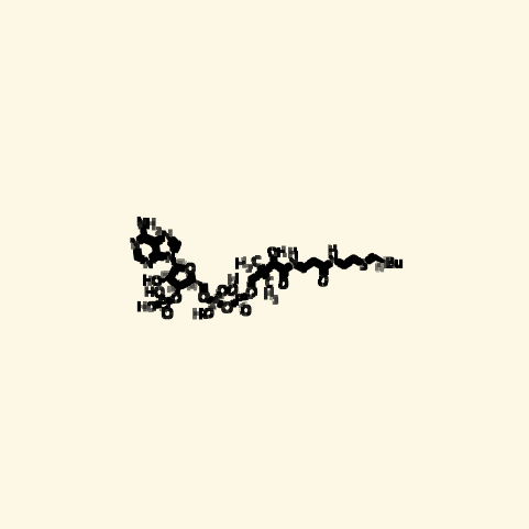 CC[C@H](C)CSCCNC(=O)CCNC(=O)C(O)C(C)(C)COP(=O)(O)OP(=O)(O)OC[C@H]1O[C@@H](n2cnc3c(N)ncnc32)[C@H](O)[C@@H]1OP(=O)(O)O